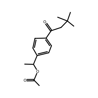 CC(=O)OC(C)c1ccc(C(=O)CC(C)(C)C)cc1